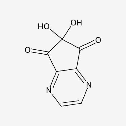 O=C1c2nccnc2C(=O)C1(O)O